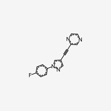 Fc1ccc(-n2cc(C#Cc3cnccn3)cn2)cc1